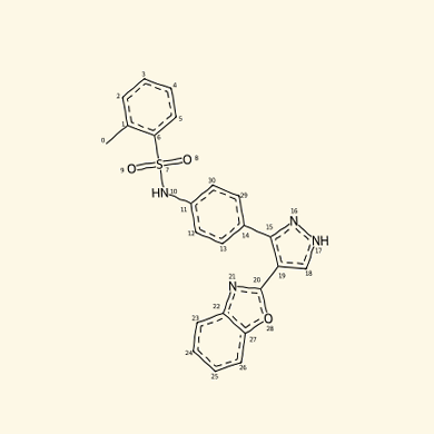 Cc1ccccc1S(=O)(=O)Nc1ccc(-c2n[nH]cc2-c2nc3ccccc3o2)cc1